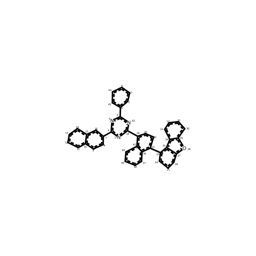 c1ccc(-c2nc(-c3ccc4ccccc4c3)nc(-c3ccc(-c4cccc5oc6ccccc6c45)c4ccccc34)n2)cc1